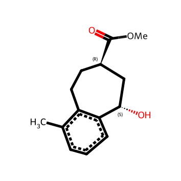 COC(=O)[C@@H]1CCc2c(C)cccc2[C@@H](O)C1